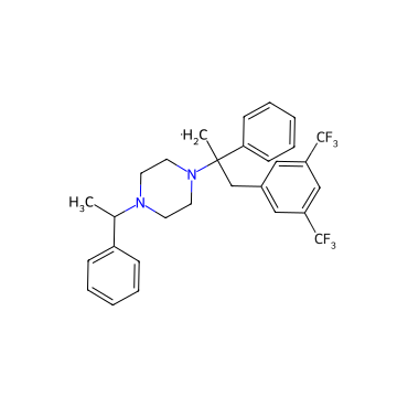 [CH2]C(Cc1cc(C(F)(F)F)cc(C(F)(F)F)c1)(c1ccccc1)N1CCN(C(C)c2ccccc2)CC1